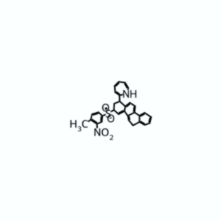 Cc1ccc(S(=O)(=O)C2C=c3c(ccc4c3=CCc3ccccc3-4)C(C3=CC=CC=CN3)C2)cc1[N+](=O)[O-]